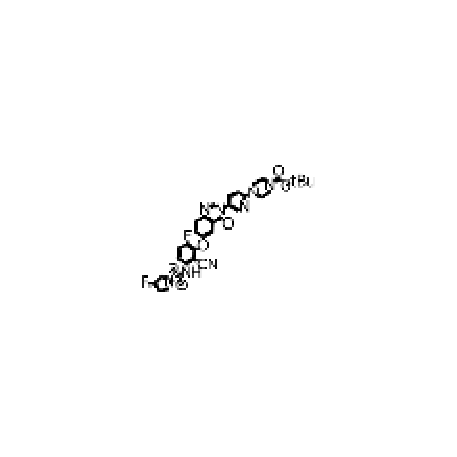 CC(C)(C)OC(=O)N1CCN(c2ccc(-n3cnc4ccc(Oc5c(F)ccc(NS(=O)(=O)N6CC[C@@H](F)C6)c5C#N)cc4c3=O)cn2)CC1